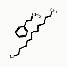 C=CCc1ccccc1.CCCCCCCCCCC[CH2][Na]